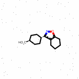 O=C(O)[C@H]1CC[C@H](c2noc3c2CCCC3)CC1